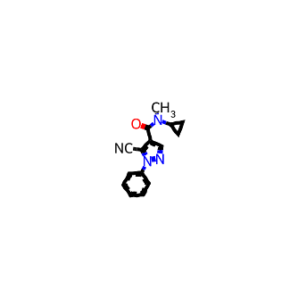 CN(C(=O)c1cnn(-c2ccccc2)c1C#N)C1CC1